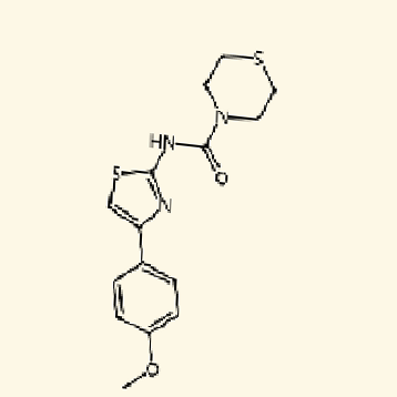 COc1ccc(-c2csc(NC(=O)N3CCSCC3)n2)cc1